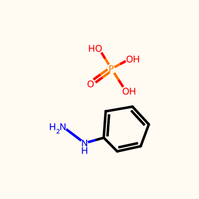 NNc1ccccc1.O=P(O)(O)O